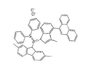 CC1=C[CH]([Zr+2]([CH]2c3cc(C)ccc3-c3ccc(C)cc32)=[Si](c2ccccc2)c2ccccc2)c2cccc(-c3cc4ccccc4c4ccccc34)c21.[Cl-].[Cl-]